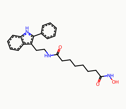 O=C(CCCCCCC(=O)NCCc1c(-c2ccccc2)[nH]c2ccccc12)NO